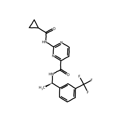 C[C@@H](NC(=O)c1ccnc(NC(=O)C2CC2)n1)c1cccc(C(F)(F)F)c1